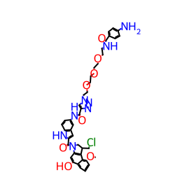 COc1cccc2c(O)cc3c(c12)C(CCl)CN3C(=O)c1cc2cc(NC(=O)c3cn(CCOCCOCCOCCNC(=O)c4ccc(N)cc4)nn3)ccc2[nH]1